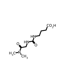 CN(C)C(=O)CNC(=O)NCCCC(=O)O